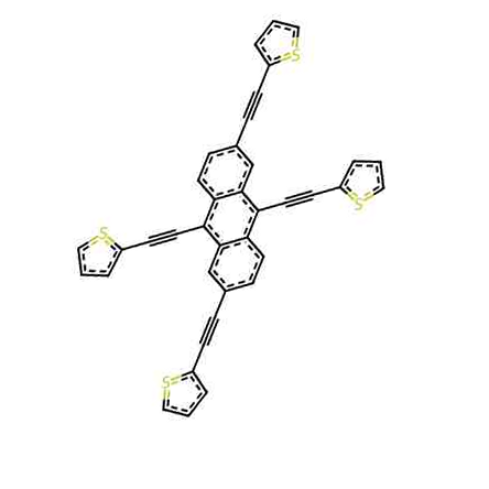 C(#Cc1cccs1)c1ccc2c(C#Cc3cccs3)c3cc(C#Cc4cccs4)ccc3c(C#Cc3cccs3)c2c1